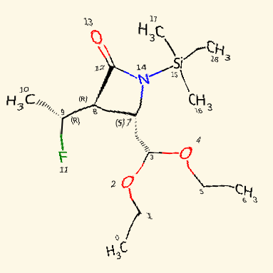 CCOC(OCC)[C@@H]1[C@@H]([C@@H](C)F)C(=O)N1[Si](C)(C)C